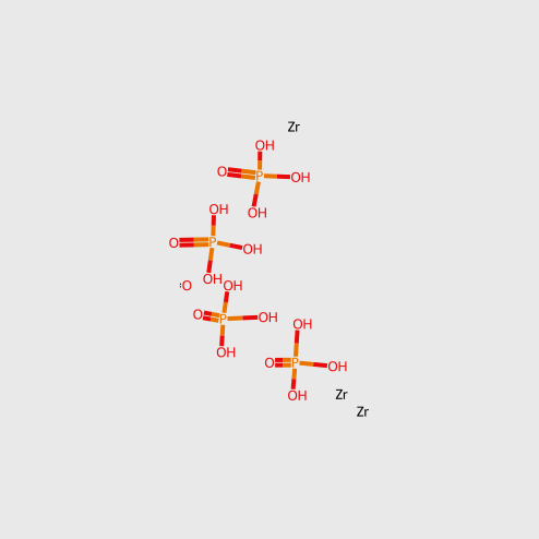 O=P(O)(O)O.O=P(O)(O)O.O=P(O)(O)O.O=P(O)(O)O.[O].[Zr].[Zr].[Zr]